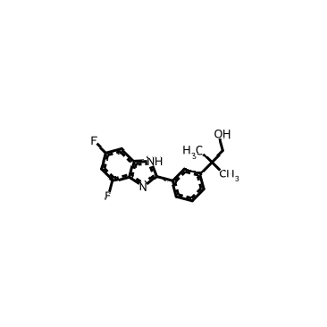 CC(C)(CO)c1cccc(-c2nc3c(F)cc(F)cc3[nH]2)c1